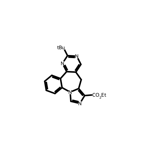 CCOC(=O)c1ncn2c1Cc1cnc(C(C)(C)C)nc1-c1ccccc1-2